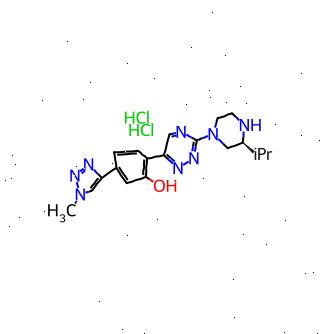 CC(C)[C@H]1CN(c2ncc(-c3ccc(-c4cn(C)nn4)cc3O)nn2)CCN1.Cl.Cl